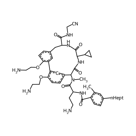 CCCCCCCc1ccc(C(=O)NC(CCN)C(=O)N(C)C2C(=O)NC(C3CC3)C(=O)NC(C(=O)NCC#N)Cc3ccc(OCCN)c(c3)-c3cc2ccc3OCCN)c(C)c1